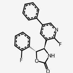 O=C1N[C@H](c2cc(-c3ccccc3)cnc2F)[C@@H](c2ccccc2F)O1